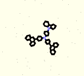 C1=Cc2c(n(-c3ccc(N(c4ccc(-c5cc6ccccc6c6ccccc56)cc4)c4ccc(-c5cc6ccccc6c6ccccc56)cc4)cc3)c3ccccc23)CC1